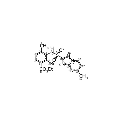 CCOC(=O)c1ccc(C)c(NS(=O)(=O)c2nc3nc(C)ccn3n2)c1Br